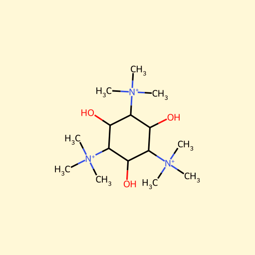 C[N+](C)(C)C1C(O)C([N+](C)(C)C)C(O)C([N+](C)(C)C)C1O